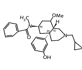 COC1C[C@H](N(C)C(=O)c2ccccc2)C[C@]2(c3cccc(O)c3)CCN(CC3CC3)C[C@@H]12